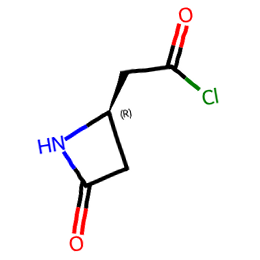 O=C(Cl)C[C@H]1CC(=O)N1